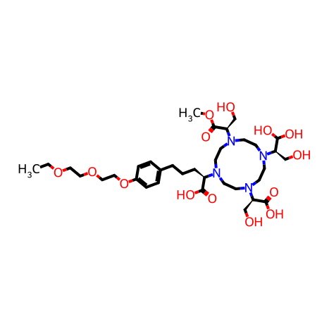 CCOCCOCCOc1ccc(CCC[C@H](C(=O)O)N2CCN([C@H](CO)C(=O)O)CCN([C@H](CO)C(O)O)CCN([C@H](CO)C(=O)OC)CC2)cc1